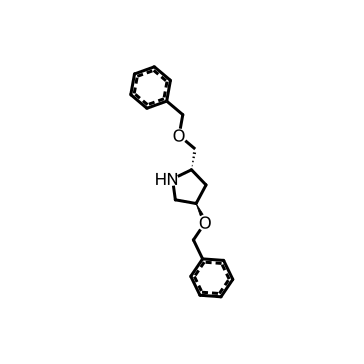 c1ccc(COC[C@@H]2C[C@@H](OCc3ccccc3)CN2)cc1